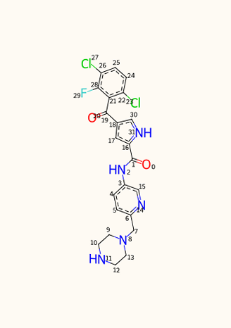 O=C(Nc1ccc(CN2CCNCC2)nc1)c1cc(C(=O)c2c(Cl)ccc(Cl)c2F)c[nH]1